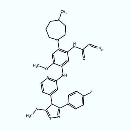 C=CC(=O)Nc1cc(Nc2cc(-n3c(SC)nnc3-c3ccc(F)cc3)ccn2)c(OC)cc1N1CCCN(C)CC1